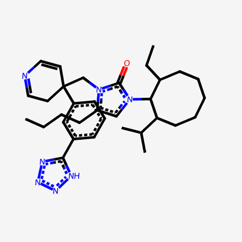 CCCCc1cn(C2C(CC)CCCCCC2C(C)C)c(=O)n1CC1(c2cccc(-c3nnn[nH]3)c2)C=CN=CC1